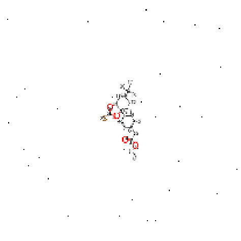 CCOC(=O)Cc1ccc(C23CCC(C(C)(C)C)CC2OC(=S)O3)cc1